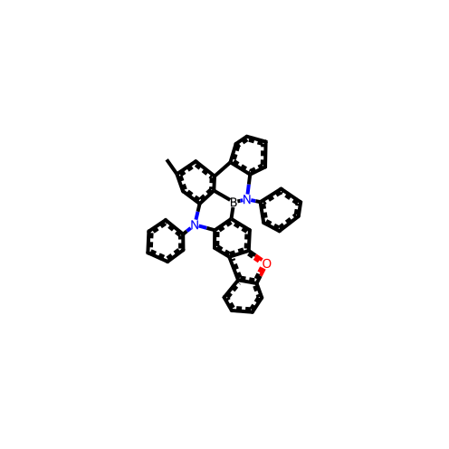 Cc1cc2c3c(c1)N(c1ccccc1)c1cc4c(cc1B3N(c1ccccc1)c1ccccc1-2)oc1ccccc14